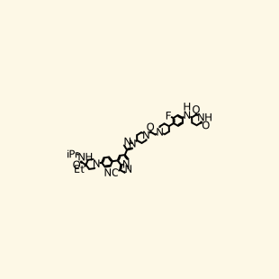 CCC1(C(=O)NC(C)C)CCN(c2ccc(-c3cc(-c4cnn(C5CCN(C(=O)CN6CCC(c7ccc(NC8CCC(=O)NC8=O)cc7F)CC6)CC5)c4)cn4ncc(C#N)c34)cc2)CC1